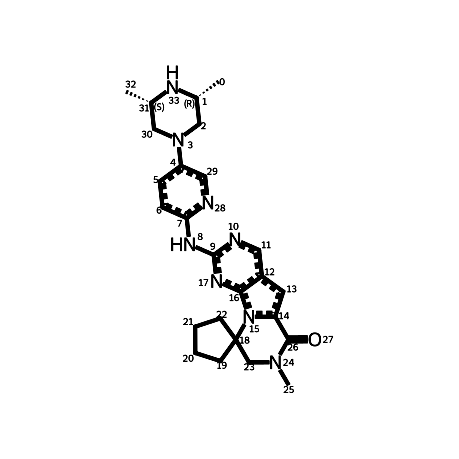 C[C@@H]1CN(c2ccc(Nc3ncc4cc5n(c4n3)C3(CCCC3)CN(C)C5=O)nc2)C[C@H](C)N1